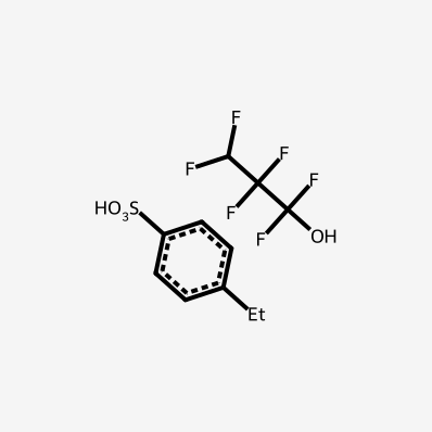 CCc1ccc(S(=O)(=O)O)cc1.OC(F)(F)C(F)(F)C(F)F